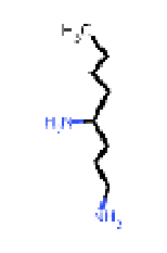 CCCCC(N)CCCN